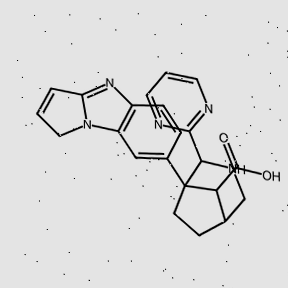 O=C(O)C1C2CCC1(c1ccc3nc4n(c3c1)CC=C4)C(c1ncccn1)NC2